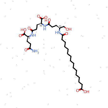 NC(=O)CC[C@H](NC(=O)CC[C@H](NC(=O)CC[C@@H](CO)NC(=O)CCCCCCCCCCCCCCC(=O)O)C(=O)O)C(=O)O